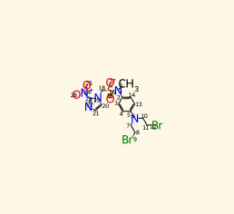 CN(c1ccc(N(CCBr)CCBr)cc1)S(=O)(=O)Cn1ccnc1[N+](=O)[O-]